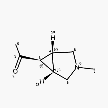 CC(=O)[C@H]1[C@@H]2CN(C)C[C@@H]21